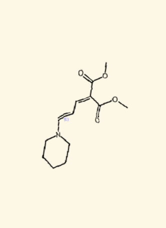 COC(=O)C(=C/C=C/N1CCCCC1)C(=O)OC